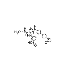 C=CCNC(=O)c1cnc(Nc2ccc(C3CCC(N4CCCC4=O)CC3)cc2)nc1Nc1cccc(C2(O)COC2)n1